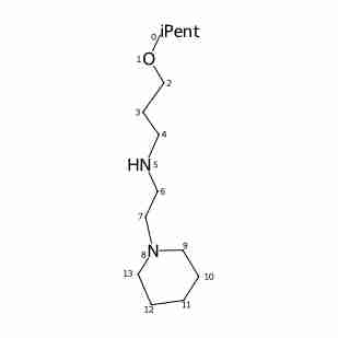 CCCC(C)OCCCNCCN1CCCCC1